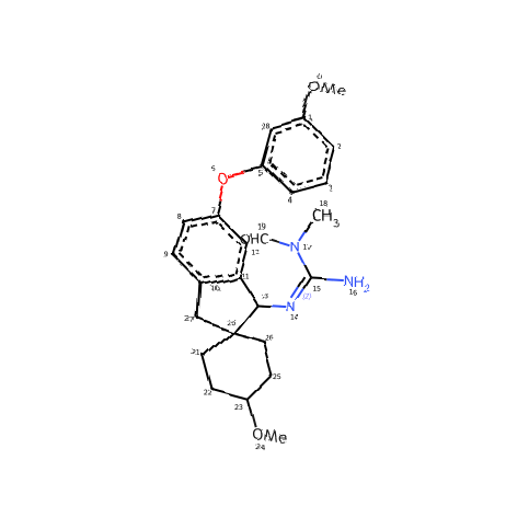 COc1cccc(Oc2ccc3c(c2)C(/N=C(/N)N(C)C=O)C2(CCC(OC)CC2)C3)c1